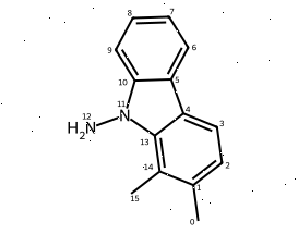 Cc1ccc2c3ccccc3n(N)c2c1C